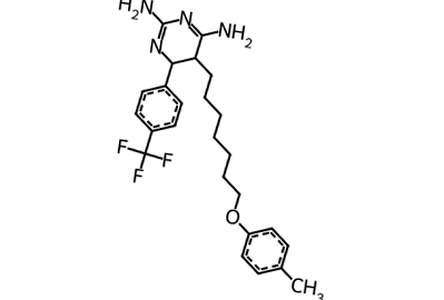 Cc1ccc(OCCCCCCCC2C(N)=NC(N)=NC2c2ccc(C(F)(F)F)cc2)cc1